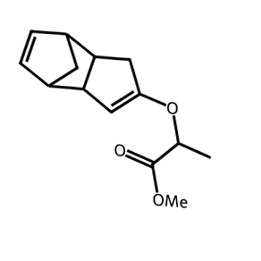 COC(=O)C(C)OC1=CC2C3C=CC(C3)C2C1